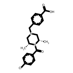 C[C@@H]1CN(Cc2ccc(C(=O)O)cc2)C[C@H](C)N1C(=O)c1ccc(Cl)cc1